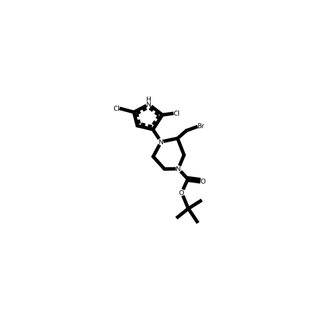 CC(C)(C)OC(=O)N1CCN(c2cc(Cl)[nH]c2Cl)C(CBr)C1